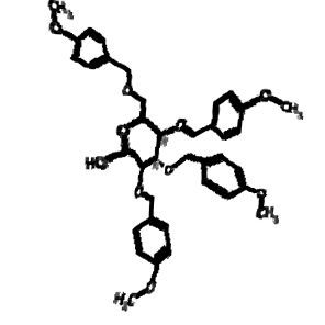 COc1ccc(COCC2OC(O)C(OCc3ccc(OC)cc3)[C@@H](OCc3ccc(OC)cc3)[C@@H]2OCc2ccc(OC)cc2)cc1